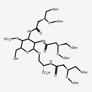 CCCCCCCCCCC[C@H](CC(=O)NC1C(OC[C@H](NC(=O)C[C@@H](CCCCCCCCCCC)OCCCCCCCCCC)C(=O)O)OC(CO)C(OS(=O)(=O)O)C1NC(=O)C[C@@H](CCCCCCCCCCC)OCCCCCCCCCC)OCCCCCCCCCC